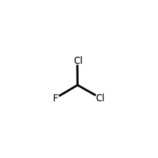 FC(Cl)Cl